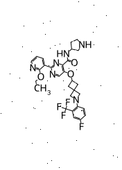 CCOc1ncccc1-c1ncc(OC2CC3(C2)CN(c2ccc(F)cc2C(F)(F)F)C3)c(C(=O)NC2CCNC2)n1